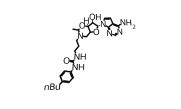 CCCCc1ccc(NC(=O)NCCCN2CC3O[C@@H](n4ccc5c(N)ncnc54)[C@H](O)[C@@H]3OC2C)cc1